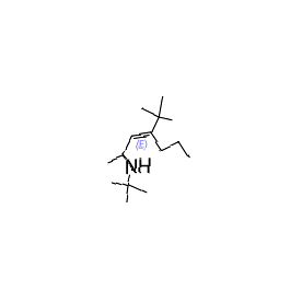 CCC/C(=C\C(C)NC(C)(C)C)C(C)(C)C